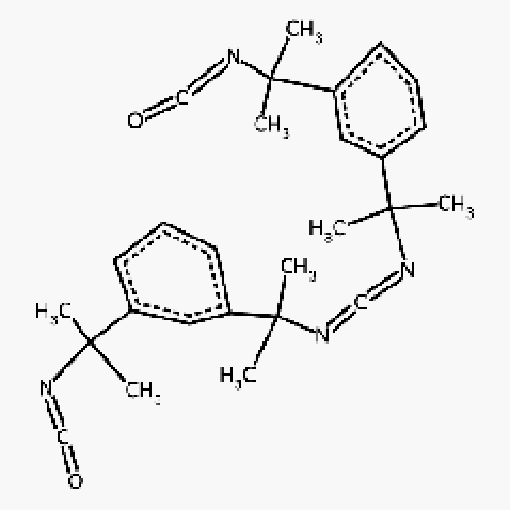 CC(C)(N=C=O)c1cccc(C(C)(C)N=C=NC(C)(C)c2cccc(C(C)(C)N=C=O)c2)c1